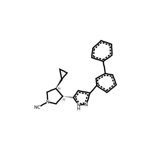 N#CN1C[C@@H](c2cc(-c3cccc(-c4ccccc4)c3)n[nH]2)[C@H](C2CC2)C1